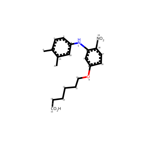 Cc1ccc(Nc2cc(OCCCCCC(=O)O)ccc2[N+](=O)[O-])cc1C